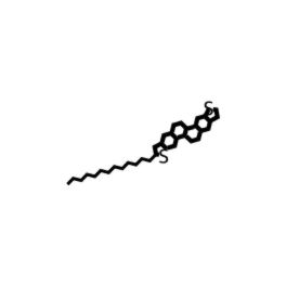 CCCCCCCCCCCCCc1cc2cc3ccc4c5cc6sccc6cc5ccc4c3cc2s1